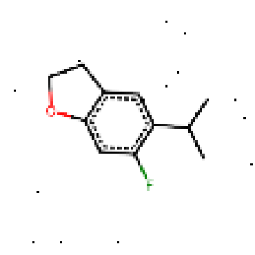 CC(C)c1cc2c(cc1F)OCC2